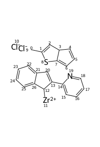 CC1=CC2C=CC=C2S1.[Cl-].[Cl-].[Zr+2][CH]1C(c2ccccn2)=Cc2ccccc21